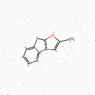 Cc1cc2c(o1)Cc1ccccc1-2